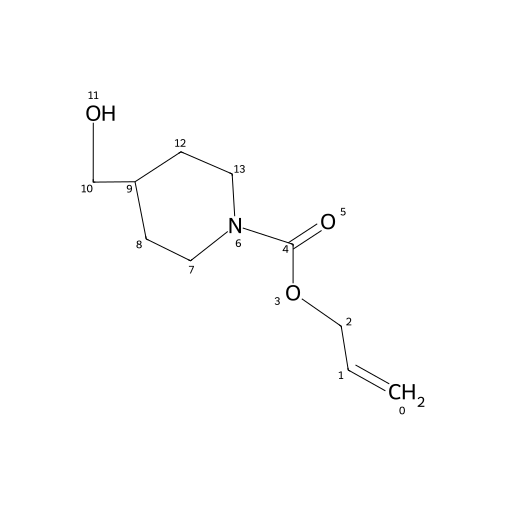 C=CCOC(=O)N1CCC(CO)CC1